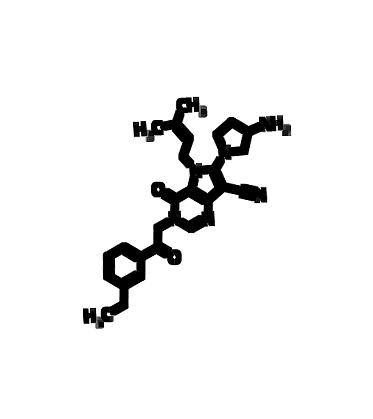 CCc1cccc(C(=O)Cn2cnc3c(C#N)c(N4CCC(N)C4)n(CC=C(C)C)c3c2=O)c1